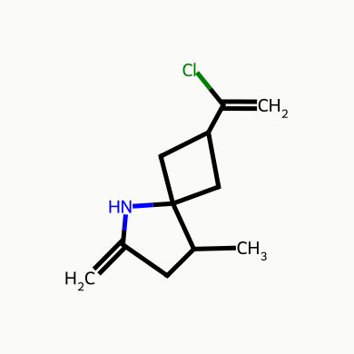 C=C1CC(C)C2(CC(C(=C)Cl)C2)N1